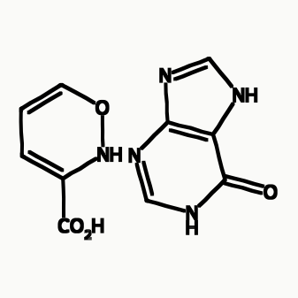 O=C(O)C1=CC=CON1.O=c1[nH]cnc2nc[nH]c12